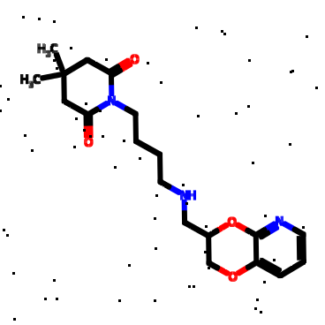 CC1(C)CC(=O)N(CCCCNCC2COc3cccnc3O2)C(=O)C1